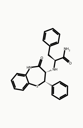 NC(=O)[C@H](Cc1ccccc1)N[C@H]1C(=O)Nc2ccccc2S[C@H]1c1ccccc1